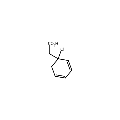 O=C(O)CC1(Cl)C=CC=CC1